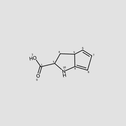 O=C(O)C1CC2C=CC=C2N1